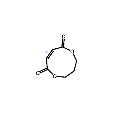 O=C1/C=C\C(=O)OCCCO1